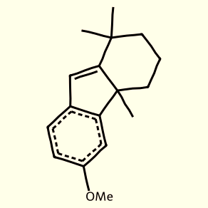 COc1ccc2c(c1)C1(C)CCCC(C)(C)C1=C2